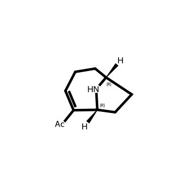 CC(=O)C1=CCC[C@@H]2CC[C@H]1N2